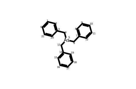 c1ccc(C[As](Cc2ccccc2)Cc2ccccc2)cc1